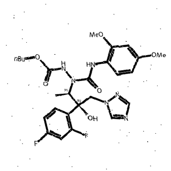 CCCCOC(=O)NN(C(=O)Nc1ccc(OC)cc1OC)[C@H](C)[C@](O)(Cn1cncn1)c1ccc(F)cc1F